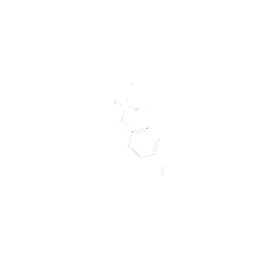 C=Cc1ccc(C[PH](C)(C)C)cc1